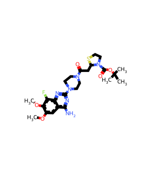 COc1cc2c(N)nc(N3CCN(C(=O)CC4SCCN4C(=O)OC(C)(C)C)CC3)nc2c(F)c1OC